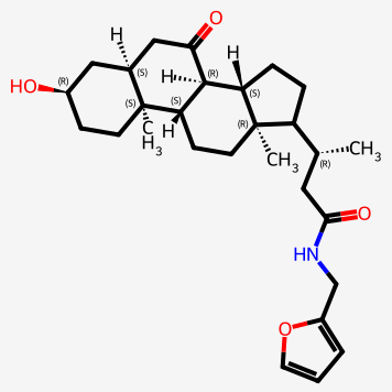 C[C@H](CC(=O)NCc1ccco1)C1CC[C@H]2[C@@H]3C(=O)C[C@@H]4C[C@H](O)CC[C@]4(C)[C@H]3CC[C@]12C